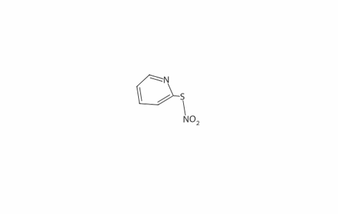 O=[N+]([O-])Sc1ccccn1